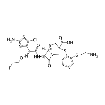 NCCSc1cnccc1SC1(C(=O)O)CS[C@@H]2[C@H](NC(=O)C(=NOCCF)c3nc(N)sc3Cl)C(=O)N2C1